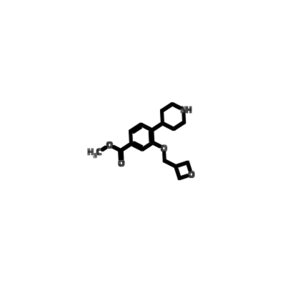 COC(=O)c1ccc(C2CCNCC2)c(OCC2COC2)c1